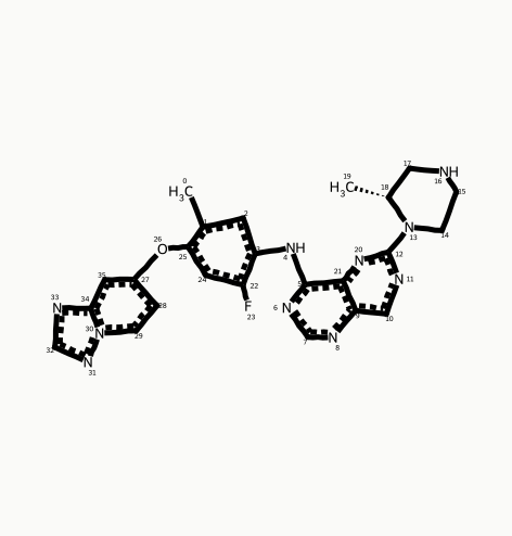 Cc1cc(Nc2ncnc3cnc(N4CCNC[C@H]4C)nc23)c(F)cc1Oc1ccn2ncnc2c1